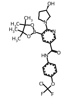 CC1(C)OB(c2cc(C(=O)Nc3ccc(OC(F)(F)Cl)cc3)cnc2N2CC[C@@H](O)C2)OC1(C)C